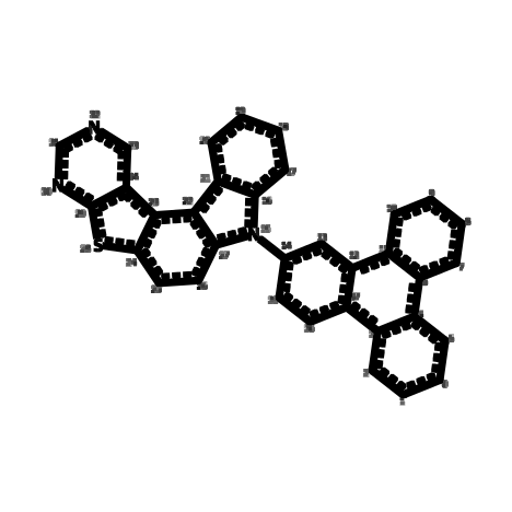 c1ccc2c(c1)c1ccccc1c1cc(-n3c4ccccc4c4c5c(ccc43)sc3ncncc35)ccc21